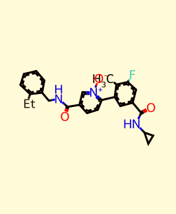 CCc1ccccc1CNC(=O)c1ccc(-c2cc(C(=O)NC3CC3)cc(F)c2C)[n+]([O-])c1